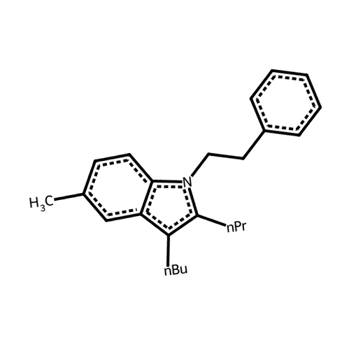 CCCCc1c(CCC)n(CCc2ccccc2)c2ccc(C)cc12